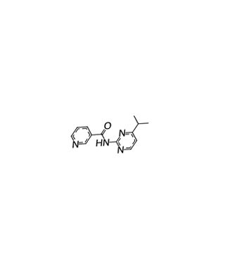 CC(C)c1ccnc(NC(=O)c2cccnc2)n1